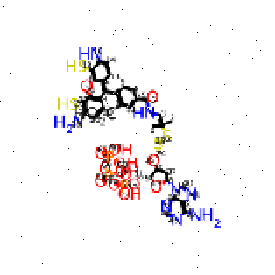 CC(C)(CNC(=O)c1ccc(-c2c3ccc(=N)c(S)c-3oc3c(S)c(N)ccc23)c(C(=O)O)c1)SSCO[C@@H]1C[C@H](n2cnc3c(N)ncnc32)O[C@@H]1COP(=O)(O)OP(=O)(O)OP(=O)(O)O